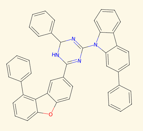 c1ccc(-c2ccc3c4ccccc4n(C4=NC(c5ccccc5)NC(c5ccc6oc7cccc(-c8ccccc8)c7c6c5)=N4)c3c2)cc1